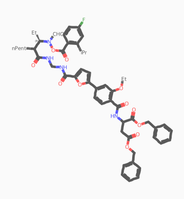 CCCCCC(C(=O)NCNC(=O)c1ccc(-c2ccc(C(=O)NC(CC(=O)OCc3ccccc3)C(=O)OCc3ccccc3)c(OCC)c2)o1)[C@@H](CC)N(C=O)OC(=O)c1ccc(F)cc1C(C)C